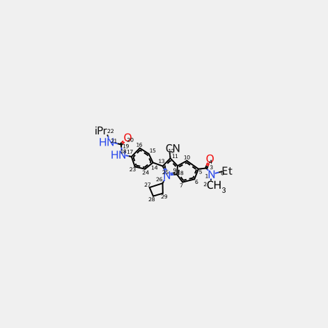 CCN(C)C(=O)c1ccc2c(c1)c(C#N)c(-c1ccc(NC(=O)NC(C)C)cc1)n2C1CCC1